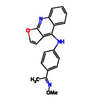 CON=C(C)c1ccc(Nc2c3ccccc3nc3occc23)cc1